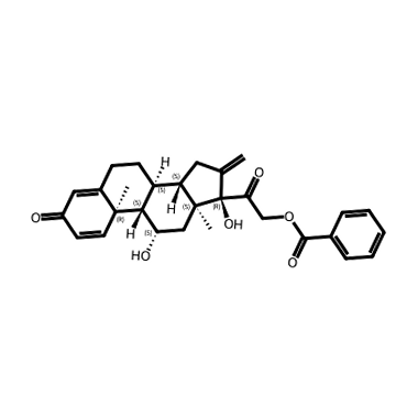 C=C1C[C@H]2[C@@H]3CCC4=CC(=O)C=C[C@]4(C)[C@H]3[C@@H](O)C[C@]2(C)[C@@]1(O)C(=O)COC(=O)c1ccccc1